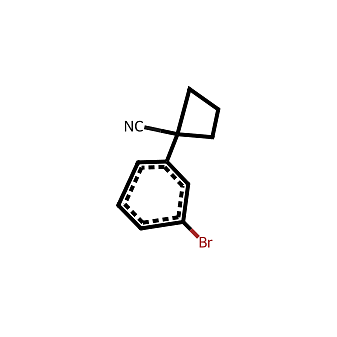 N#CC1(c2cccc(Br)c2)CCC1